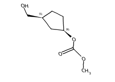 COC(=O)O[C@@H]1CC[C@H](CO)C1